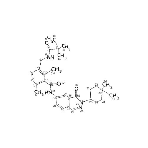 Cc1ccc(CNC(=O)C(C)(C)C)c(C)c1C(=O)Nc1ccc2cnn(C3CCC(C)(C)CC3)c(=O)c2c1